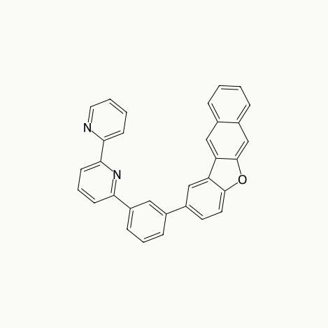 c1ccc(-c2cccc(-c3cccc(-c4ccc5oc6cc7ccccc7cc6c5c4)c3)n2)nc1